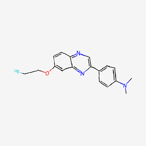 CN(C)c1ccc(-c2cnc3ccc(OCC[18F])cc3n2)cc1